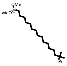 CO[SiH](CCCCCCCCCCCCCCC(C)(C)C(C)C)OC